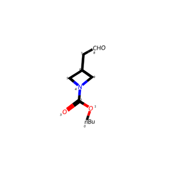 CCCCOC(=O)N1CC(CC=O)C1